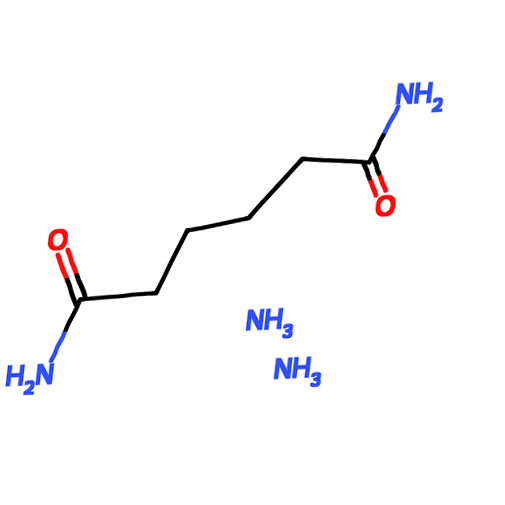 N.N.NC(=O)CCCCC(N)=O